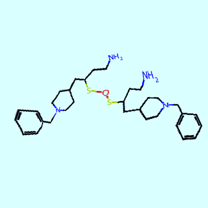 NCCC(CC1CCN(Cc2ccccc2)CC1)SOSC(CCN)CC1CCN(Cc2ccccc2)CC1